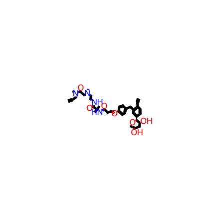 C#CCN(C)C(=O)CN(C)CCNC(=O)C(C)(C)NC(=O)CCOc1ccc(Cc2cc([C@@H]3OCC(O)CC3O)ccc2C#C)cc1